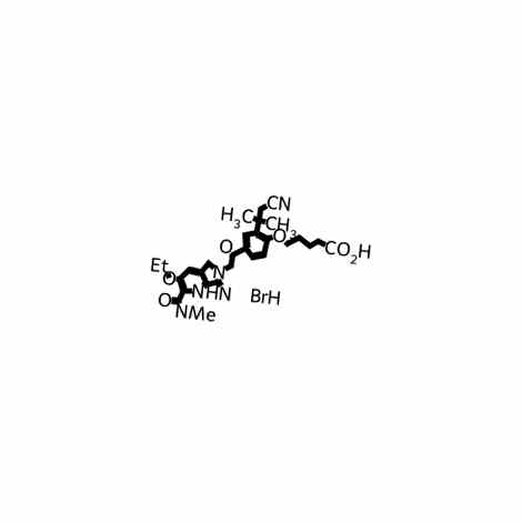 Br.CCOc1cc2c(nc1C(=O)NC)C(=N)N(CC(=O)c1ccc(OCCCCC(=O)O)c(C(C)(C)CC#N)c1)C2